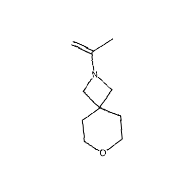 C=C(C)N1CC2(CCOCC2)C1